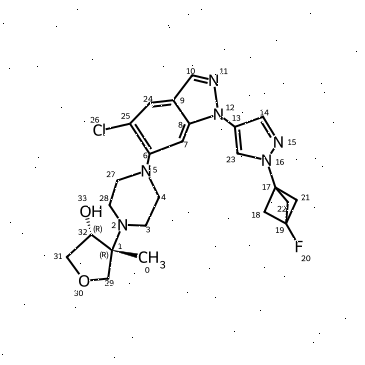 C[C@@]1(N2CCN(c3cc4c(cnn4-c4cnn(C56CC(F)(C5)C6)c4)cc3Cl)CC2)COC[C@@H]1O